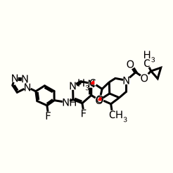 CC1OC(C)C2CN(C(=O)OC3(C)CC3)CC1C2Oc1ncnc(Nc2ccc(-n3ccnn3)cc2F)c1F